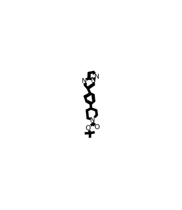 CC(C)(C)OC(=O)N1CCC(c2ccc(-c3cnc4ccnn4c3)cc2)CC1